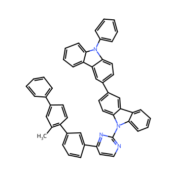 Cc1cc(-c2ccccc2)ccc1-c1cccc(-c2ccnc(-n3c4ccccc4c4cc(-c5ccc6c(c5)c5ccccc5n6-c5ccccc5)ccc43)n2)c1